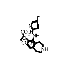 Fc1ccc(CNc2c(Cl)ccc3c2CCNCC3)nc1.O=C(O)CCC(=O)O